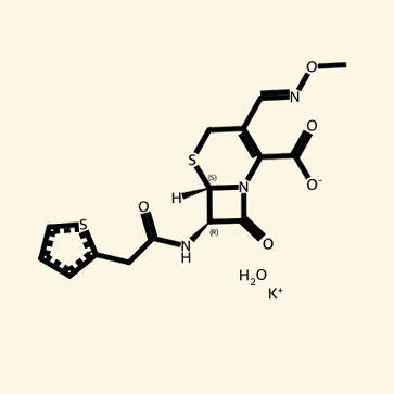 CON=CC1=C(C(=O)[O-])N2C(=O)[C@@H](NC(=O)Cc3cccs3)[C@@H]2SC1.O.[K+]